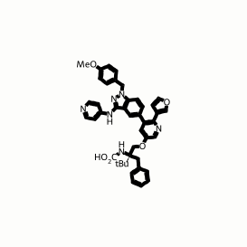 COc1ccc(Cn2nc(Nc3ccncc3)c3cc(-c4cc(OC[C@@](Cc5ccccc5)(NC(=O)O)C(C)(C)C)cnc4-c4ccoc4)ccc32)cc1